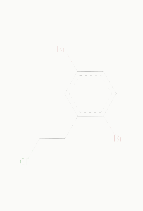 ClCCc1cc(Br)ccc1Br